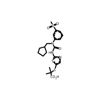 CC(C)(Sc1cnc(NC(=O)N(CC2CCCC2)c2cccc(S(C)(=O)=O)c2)s1)C(=O)O